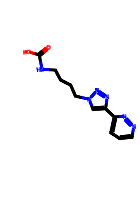 O=C(O)NCCCCn1cc(-c2cccnn2)nn1